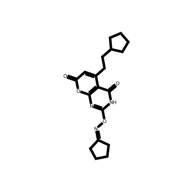 O=c1cc(CCC2CCCC2)c2c(=O)[nH]c(ON=C3CCCC3)nc2o1